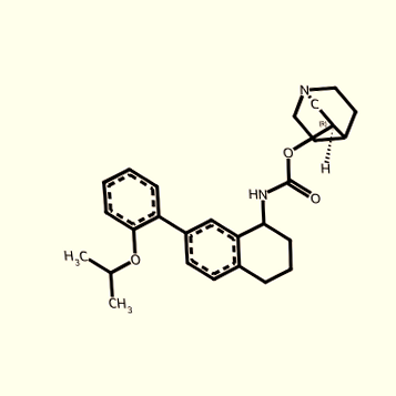 CC(C)Oc1ccccc1-c1ccc2c(c1)C(NC(=O)O[C@H]1CN3CCC1CC3)CCC2